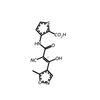 Cc1oncc1/C(O)=C(\C#N)C(=O)Nc1ccsc1C(=O)O